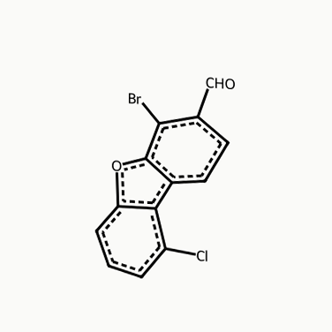 O=Cc1ccc2c(oc3cccc(Cl)c32)c1Br